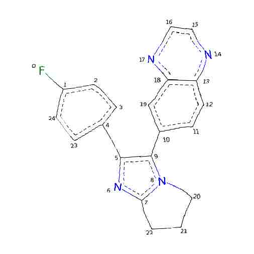 Fc1ccc(-c2nc3n(c2-c2ccc4nccnc4c2)CCC3)cc1